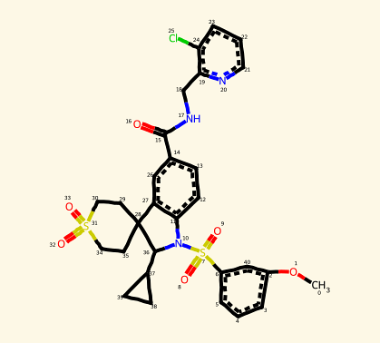 COc1cccc(S(=O)(=O)N2c3ccc(C(=O)NCc4ncccc4Cl)cc3C3(CCS(=O)(=O)CC3)C2C2CC2)c1